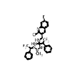 CN1NC(NCc2cc3ccc(F)cc3nc2Cl)(C(c2ccccc2)C(F)(F)F)NN1C(c1ccccc1)C(F)(F)F